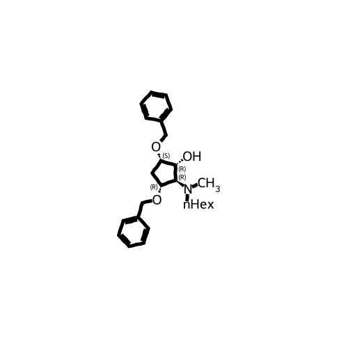 CCCCCCN(C)[C@@H]1[C@@H](O)[C@@H](OCc2ccccc2)C[C@H]1OCc1ccccc1